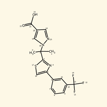 CC(C)(c1nc(-c2cccc(C(F)(F)F)c2)cs1)n1cc(C(=O)O)cn1